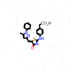 Cc1cc(C=C2SC(Nc3ccc(CC(=O)O)cc3)=NC2=O)nn1-c1ccccc1